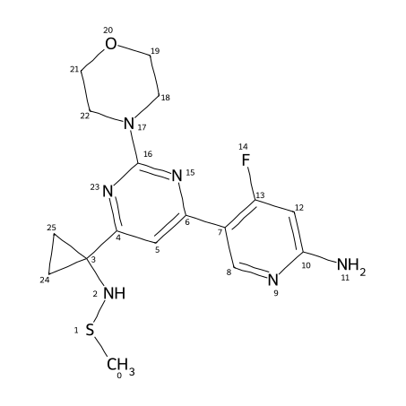 CSNC1(c2cc(-c3cnc(N)cc3F)nc(N3CCOCC3)n2)CC1